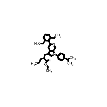 CCCC(Cc1cn(-c2ccc(C(C)C)cc2)c2cnc(-c3c(CC)cccc3CC)cc12)C(=O)OCC